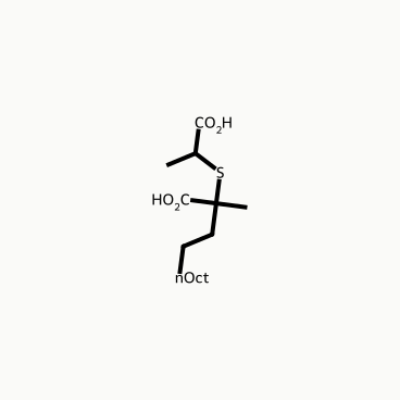 CCCCCCCCCCC(C)(SC(C)C(=O)O)C(=O)O